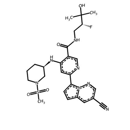 CC(C)(O)[C@H](F)CNC(=O)c1cnc(-c2ccc3cc(C#N)cnn23)cc1N[C@@H]1CCCN(S(C)(=O)=O)C1